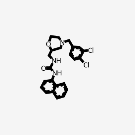 O=C(NCC1CN(Cc2ccc(Cl)c(Cl)c2)CCO1)Nc1cccc2ccccc12